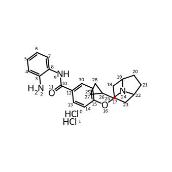 Cl.Cl.Nc1ccccc1NC(=O)c1ccc(OC2CC3CCC(C2)N3CC2CC2)cc1